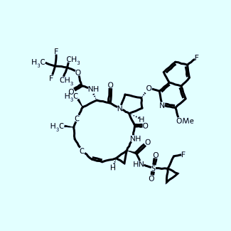 COc1cc2cc(F)ccc2c(O[C@@H]2C[C@H]3C(=O)N[C@]4(C(=O)NS(=O)(=O)C5(CF)CC5)C[C@H]4/C=C\CC[C@@H](C)C[C@@H](C)[C@H](NC(=O)OC(C)(C)C(C)(F)F)C(=O)N3C2)n1